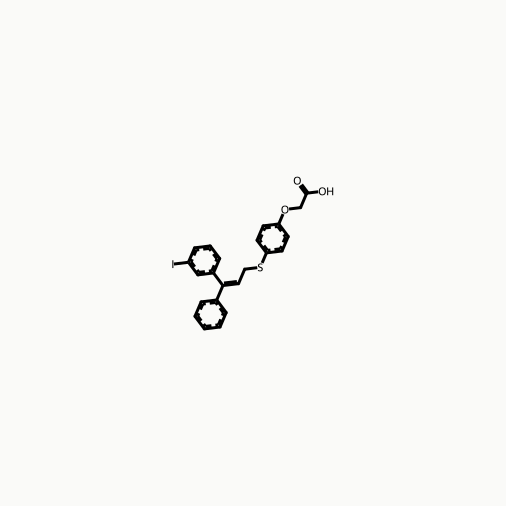 O=C(O)COc1ccc(SCC=C(c2ccccc2)c2cccc(I)c2)cc1